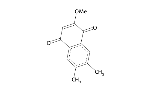 COC1=CC(=O)c2cc(C)c(C)cc2C1=O